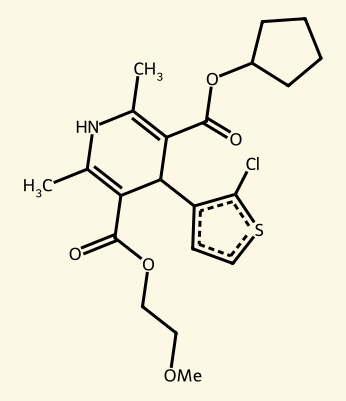 COCCOC(=O)C1=C(C)NC(C)=C(C(=O)OC2CCCC2)C1c1ccsc1Cl